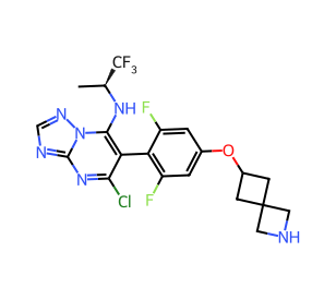 C[C@H](Nc1c(-c2c(F)cc(OC3CC4(CNC4)C3)cc2F)c(Cl)nc2ncnn12)C(F)(F)F